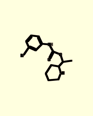 CC(OC(=O)Nc1cccc(Br)c1)C1CCCCN1